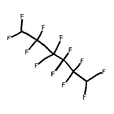 FC(F)C(F)(F)C(F)(F)C(F)(F)C(F)(F)C(F)F